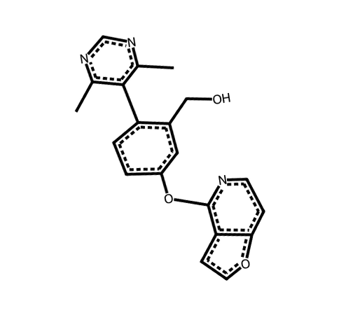 Cc1ncnc(C)c1-c1ccc(Oc2nccc3occc23)cc1CO